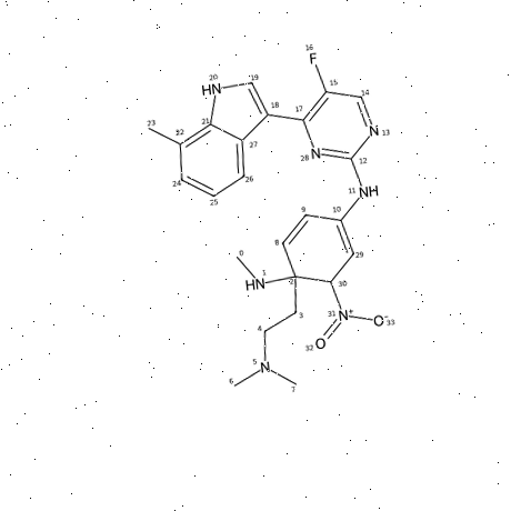 CNC1(CCN(C)C)C=CC(Nc2ncc(F)c(-c3c[nH]c4c(C)cccc34)n2)=CC1[N+](=O)[O-]